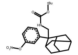 CC(C)(C)OC(=O)NCC1(c2cccc(O[N+](=O)[O-])c2)C2CC3CC(C2)CC1C3